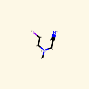 CN(CC#N)CCI